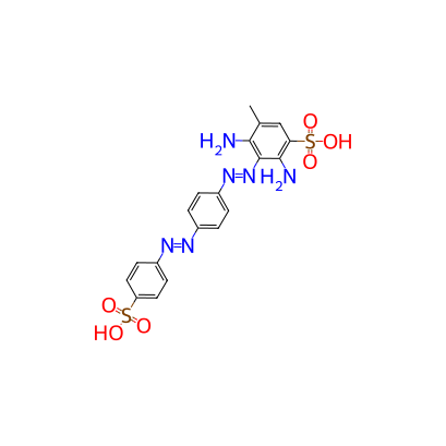 Cc1cc(S(=O)(=O)O)c(N)c(N=Nc2ccc(N=Nc3ccc(S(=O)(=O)O)cc3)cc2)c1N